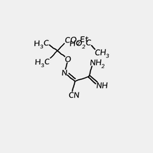 CC(=O)O.CCOC(=O)C(C)(C)ON=C(C#N)C(=N)N